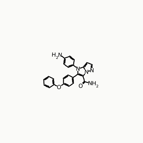 NC(=O)c1c(-c2ccc(Oc3ccccc3)cc2)n(-c2ccc(N)cc2)c2ccnn12